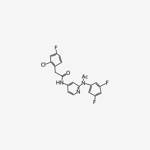 CC(=O)N(c1cc(F)cc(F)c1)c1cc(NC(=O)Cc2ccc(F)cc2Cl)ccn1